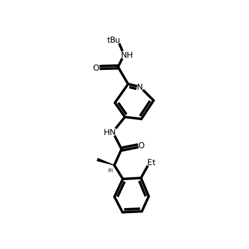 CCc1ccccc1[C@@H](C)C(=O)Nc1ccnc(C(=O)NC(C)(C)C)c1